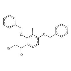 Cc1c(OCc2ccccc2)ccc(C(=O)CBr)c1OCc1ccccc1